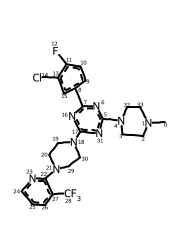 CN1CCN(c2nc(-c3ccc(F)c(Cl)c3)nc(N3CCN(c4ncccc4C(F)(F)F)CC3)n2)CC1